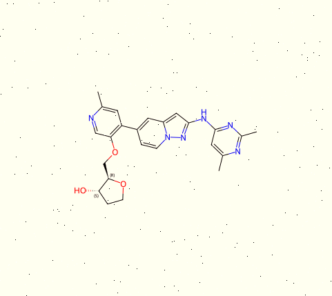 Cc1cc(-c2ccn3nc(Nc4cc(C)nc(C)n4)cc3c2)c(OC[C@H]2OCC[C@@H]2O)cn1